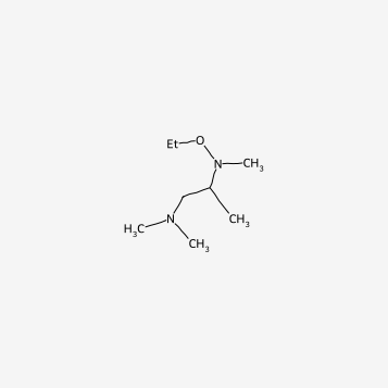 CCON(C)C(C)CN(C)C